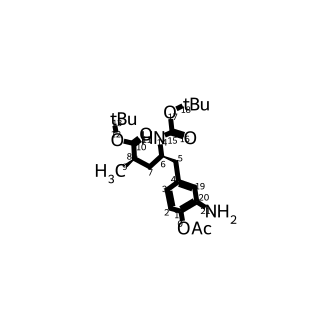 CC(=O)Oc1ccc(C[C@@H](C[C@@H](C)C(=O)OC(C)(C)C)NC(=O)OC(C)(C)C)cc1N